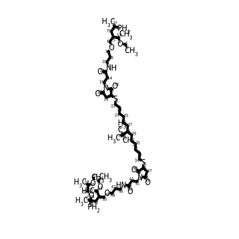 CCOC(C)C(COCCCNC(=O)CCN1C(=O)CC(SCCCCCCC(CCCCCCSC2CC(=O)N(CCC(=O)NCCCOCC(CC(C)(P)OCC(C)OC)C(C)OCC)C2=O)C(C)(C)C)C1=O)CC(C)P